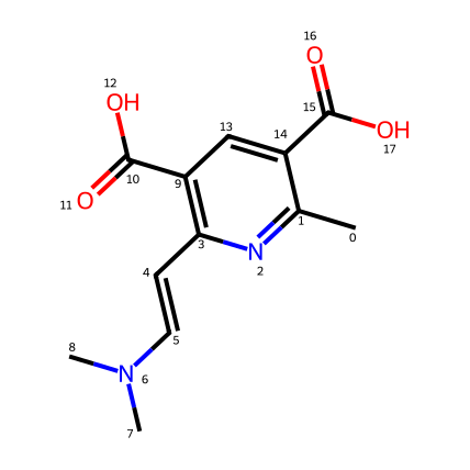 Cc1nc(/C=C/N(C)C)c(C(=O)O)cc1C(=O)O